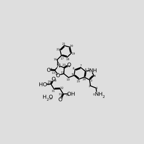 NCCc1c[nH]c2ccc(CC3OC(=O)N(Cc4ccccc4)C3=O)cc12.O.O=C(O)C=CC(=O)O